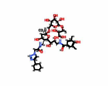 Cc1cc(C(=O)NC[C@@H](O)[C@@H](O)C2O[C@@](OCC3OC(O[C@@H](C)C(O)CO)[C@@H](O)C(O)[C@H]3O)(C(=O)O)CC(O)[C@H]2CNC(=O)Cn2cc(C3CCCCC3)nn2)cc(C)c1O